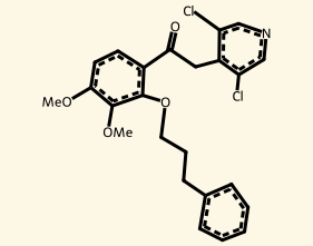 COc1ccc(C(=O)Cc2c(Cl)cncc2Cl)c(OCCCc2ccccc2)c1OC